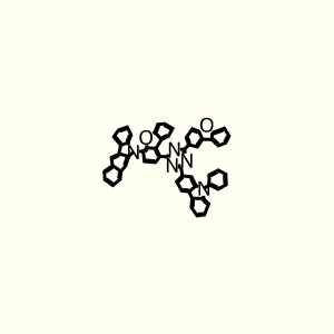 c1ccc(-n2c3ccccc3c3ccc(-c4nc(-c5ccc6oc7ccccc7c6c5)nc(-c5ccc(-n6c7ccccc7c7cc8ccccc8cc76)c6oc7ccccc7c56)n4)cc32)cc1